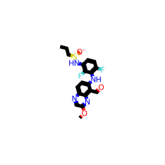 CCC[S+]([O-])Nc1ccc(F)c(Nc2ccc3ncc(OC)nc3c2C=O)c1F